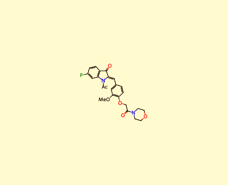 COc1cc(C=C2C(=O)c3ccc(F)cc3N2C(C)=O)ccc1OCC(=O)N1CCOCC1